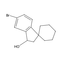 OC1CC2(CCCCC2)c2ccc(Br)cc21